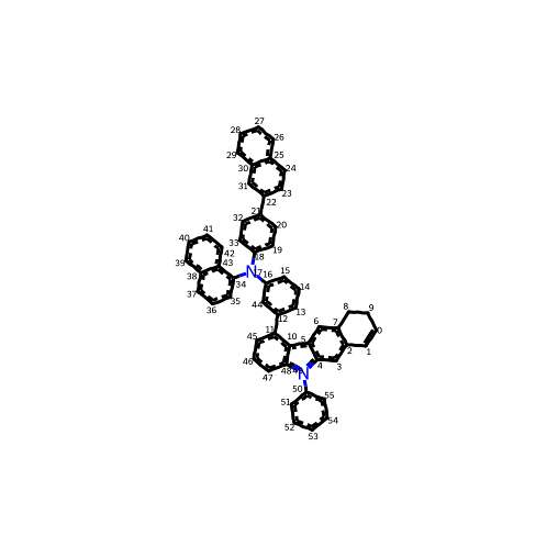 C1=Cc2cc3c(cc2CC1)c1c(-c2cccc(N(c4ccc(-c5ccc6ccccc6c5)cc4)c4cccc5ccccc45)c2)cccc1n3-c1ccccc1